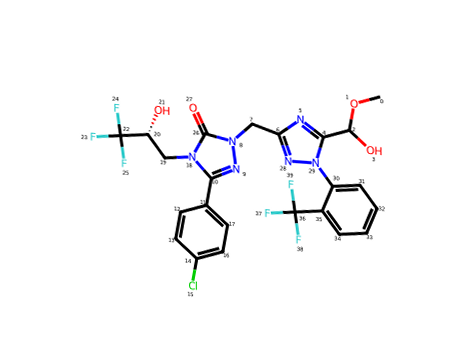 COC(O)c1nc(Cn2nc(-c3ccc(Cl)cc3)n(C[C@@H](O)C(F)(F)F)c2=O)nn1-c1ccccc1C(F)(F)F